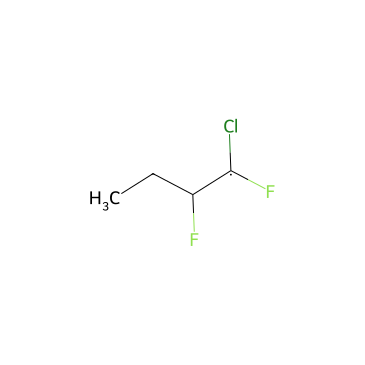 CCC(F)[C](F)Cl